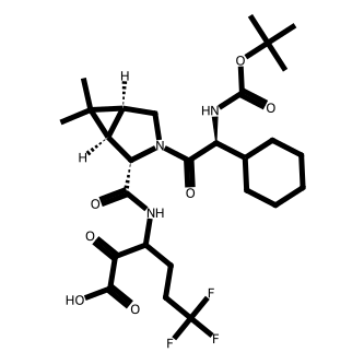 CC(C)(C)OC(=O)N[C@H](C(=O)N1C[C@H]2[C@@H]([C@H]1C(=O)NC(CCC(F)(F)F)C(=O)C(=O)O)C2(C)C)C1CCCCC1